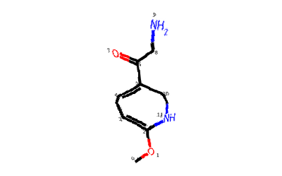 COC1=CC=C(C(=O)CN)CN1